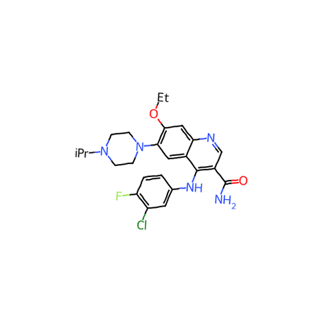 CCOc1cc2ncc(C(N)=O)c(Nc3ccc(F)c(Cl)c3)c2cc1N1CCN(C(C)C)CC1